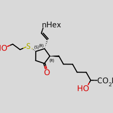 CCCCCCC=C[C@H]1[C@@H](SCCO)CC(=O)[C@@H]1CCCCCC(O)C(=O)O